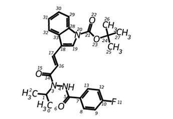 CC(C)N(NC(=O)c1ccc(F)cc1)C(=O)C=Cc1cn(C(=O)OC(C)(C)C)c2ccccc12